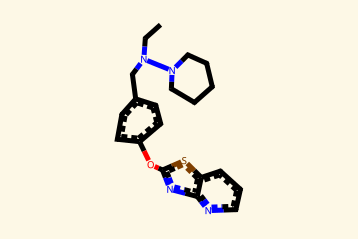 CCN(Cc1ccc(Oc2nc3ncccc3s2)cc1)N1CCCCC1